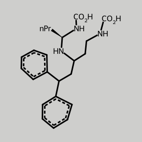 CCC[C@@H](NC(=O)O)NC(CCNC(=O)O)CC(c1ccccc1)c1ccccc1